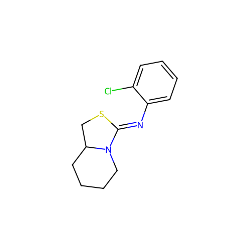 Clc1ccccc1N=C1SCC2CCCCN12